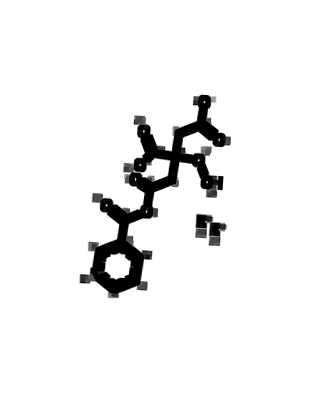 O=C([O-])CC(CC(=O)OC(=O)c1cccnc1)(OO)C(=O)[O-].[K+].[K+]